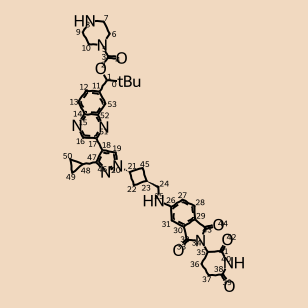 CC(C)(C)C(OC(=O)N1CCNCC1)c1ccc2ncc(-c3cn([C@H]4C[C@H](CNc5ccc6c(c5)C(=O)N(C5CCC(=O)NC5=O)C6=O)C4)nc3C3CC3)nc2c1